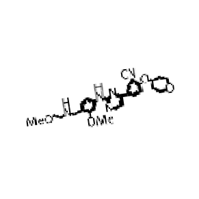 COCCNCc1ccc(Nc2nccc(-c3ccc(OC4CCOCC4)c(C#N)c3)n2)cc1OC